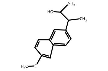 COc1ccc2cc(C(C)C(N)O)ccc2c1